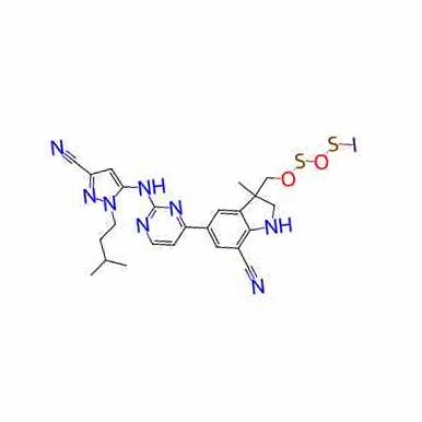 CC(C)CCn1nc(C#N)cc1Nc1nccc(-c2cc(C#N)c3c(c2)C(C)(COSOSI)CN3)n1